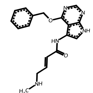 CNC/C=C/C(=O)Nc1c[nH]c2ncnc(OCc3ccccc3)c12